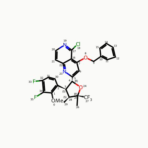 COc1c([C@H]2[C@H](c3cc(OCc4ccccc4)c4c(Cl)nccc4n3)O[C@@](C)(C(F)(F)F)[C@H]2C)ccc(F)c1F